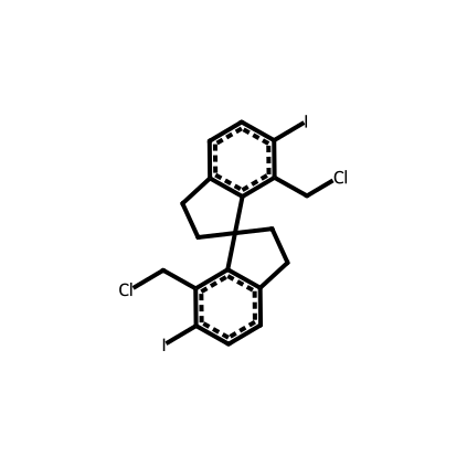 ClCc1c(I)ccc2c1C1(CC2)CCc2ccc(I)c(CCl)c21